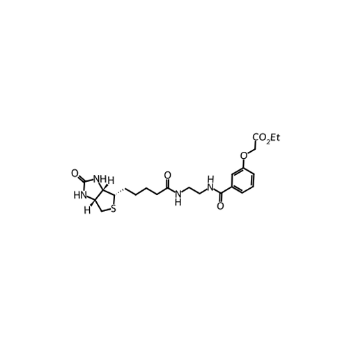 CCOC(=O)COc1cccc(C(=O)NCCNC(=O)CCCC[C@@H]2SC[C@@H]3NC(=O)N[C@@H]32)c1